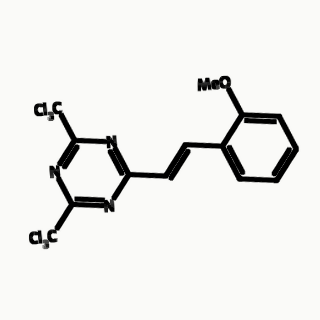 COc1ccccc1C=Cc1nc(C(Cl)(Cl)Cl)nc(C(Cl)(Cl)Cl)n1